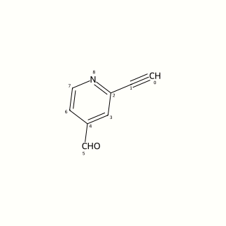 C#Cc1cc(C=O)ccn1